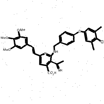 COc1cc(/C=C/c2cc(C(=O)O)c(C(C)=N)c(NCc3ccc(Oc4cc(C)c(Cl)c(C)c4)cc3)n2)cc(OC)c1OC